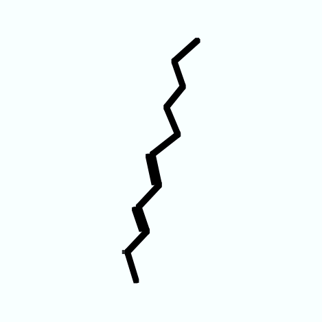 C[CH]C=CC=CCCCCC